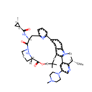 CCn1c(-c2cc(N3CCN(C)CC3)cnc2[C@H](C)OC)c2c3cc(ccc31)-c1cccc(n1)C[C@H](NC(=O)[C@H]1C[C@@H]1C)C(=O)N1CCC[C@H](N1)C(=O)OCC(C)(C)C2